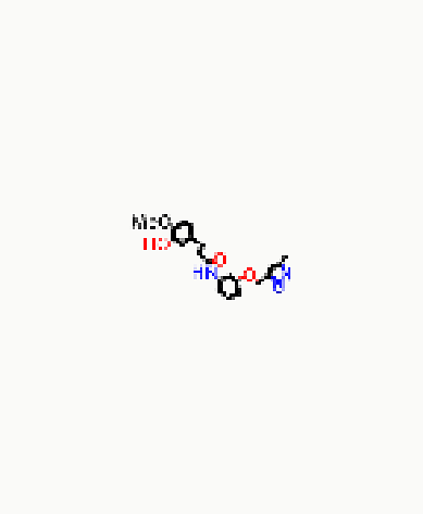 COc1ccc(C=CC(=O)Nc2cccc(OCc3cc(C)nn3C)c2)cc1O